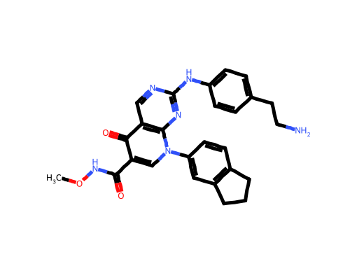 CONC(=O)c1cn(-c2ccc3c(c2)CCC3)c2nc(Nc3ccc(CCN)cc3)ncc2c1=O